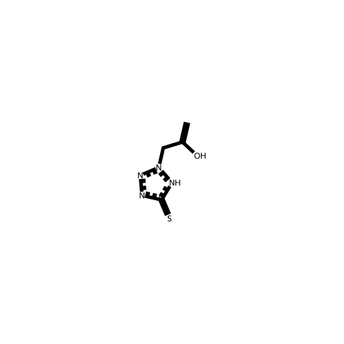 C=C(O)Cn1nnc(=S)[nH]1